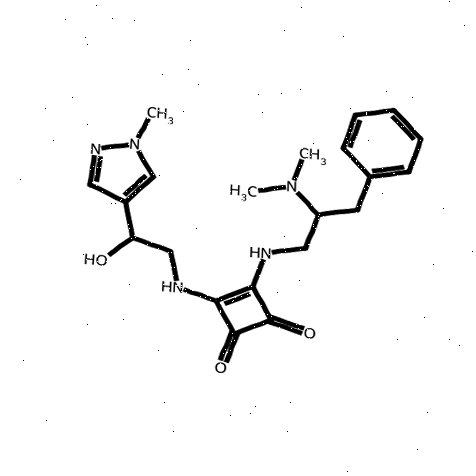 CN(C)C(CNc1c(NCC(O)c2cnn(C)c2)c(=O)c1=O)Cc1ccccc1